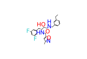 CCc1cccc(CNC[C@@H](O)[C@H](Cc2cc(F)cc(F)c2)NC(=O)c2cc(C)no2)c1